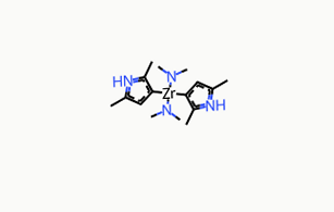 Cc1c[c]([Zr]([c]2cc(C)[nH]c2C)([N](C)C)[N](C)C)c(C)[nH]1